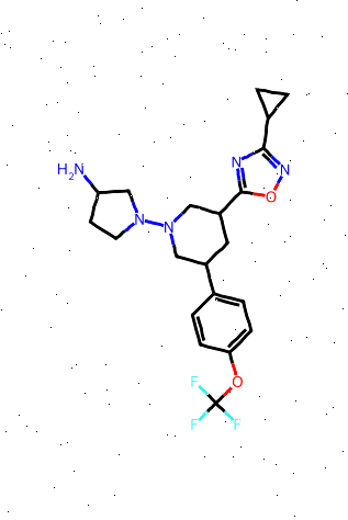 NC1CCN(N2CC(c3ccc(OC(F)(F)F)cc3)CC(c3nc(C4CC4)no3)C2)C1